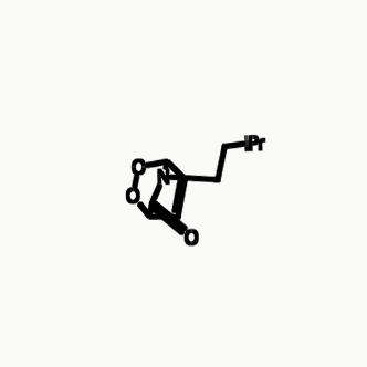 CC(C)CCN1C(=O)C2C=CC1OO2